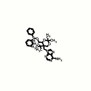 CC1(C)OCC(Cn2cnc3c(N)ncnc32)(C(C)(C)C)C(CO[SiH](c2ccccc2)c2ccccc2)O1